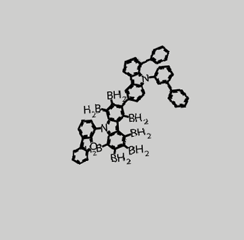 Bc1c(B)c(B)c2c(c1B)c1c(B)c(-c3ccc4c(c3)c3cccc(-c5ccccc5)c3n4-c3cccc(-c4ccccc4)c3)c(B)c(B)c1n2-c1cccc2c1oc1ccccc12